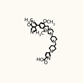 COc1cc(-c2cn(C)c(=O)c3cnccc23)cc(OC)c1CN1CCN(C2CCN(CC3CCN(c4ccc(C(=O)O)nc4)CC3)CC2)CC1